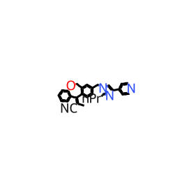 CCCc1nc(-c2ccncc2)cn1Cc1ccc2c(c1)COc1ccccc1C2=C(C)C#N